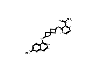 COc1ccc2c(NC3CC4(C3)CC(Oc3ncccc3C(N)=O)C4)nccc2c1